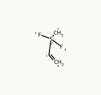 C=CS(C)(F)F